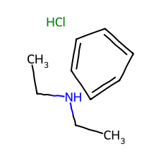 CCNCC.Cl.c1ccccc1